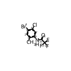 Cc1cc(Br)c(Cl)cc1NC(=O)C(F)(F)F